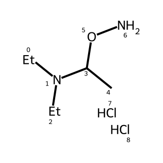 CCN(CC)C(C)ON.Cl.Cl